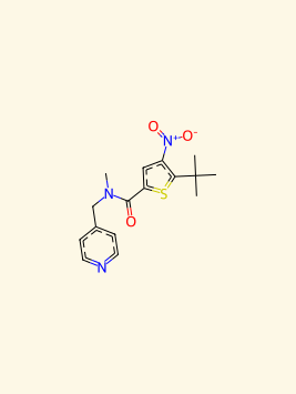 CN(Cc1ccncc1)C(=O)c1cc([N+](=O)[O-])c(C(C)(C)C)s1